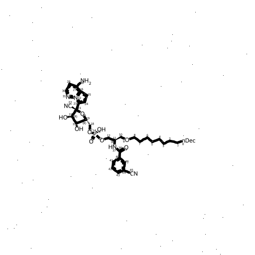 CCCCCCCCCCCCCCCCCCOC[C@H](COP(=O)(O)OC[C@H]1O[C@@](C#N)(c2ccc3c(N)ccnn23)[C@H](O)[C@@H]1O)NC(=O)c1cccc(C#N)c1